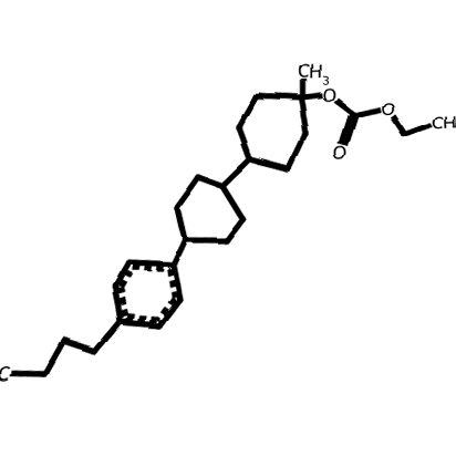 CCCCc1ccc(C2CCC(C3CCC(C)(OC(=O)OCC)CC3)CC2)cc1